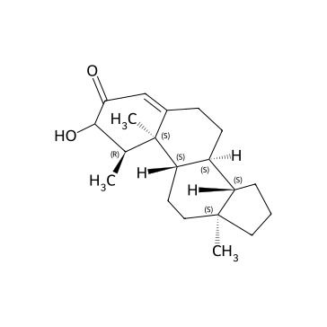 C[C@H]1C(O)C(=O)C=C2CC[C@H]3[C@@H]4CCC[C@@]4(C)CC[C@@H]3[C@]21C